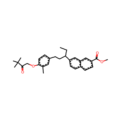 CCC(CCc1ccc(OCC(=O)C(C)(C)C)c(C)c1)c1ccc2ccc(C(=O)OC)cc2c1